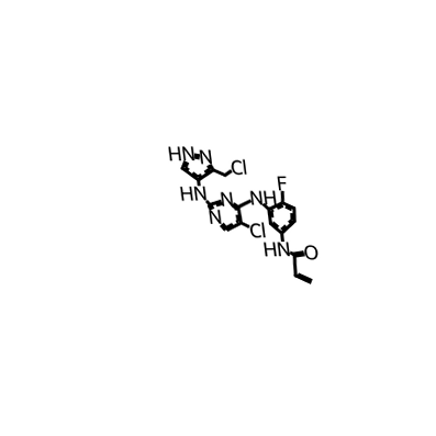 C=CC(=O)Nc1ccc(F)c(Nc2nc(Nc3c[nH]nc3CCl)ncc2Cl)c1